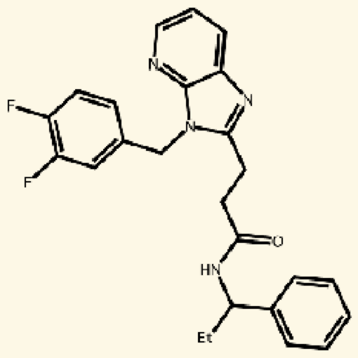 CCC(NC(=O)CCc1nc2cccnc2n1Cc1ccc(F)c(F)c1)c1ccccc1